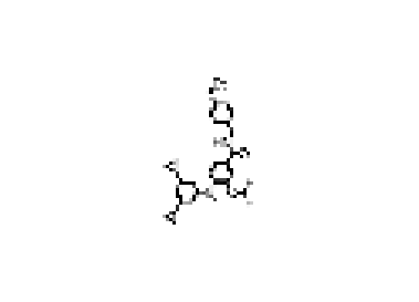 CCSc1ccc(CNC(=O)c2ccc(N(C)c3cc(C4CC4)cc(C4CC4)c3)c(OC(F)F)c2)cc1